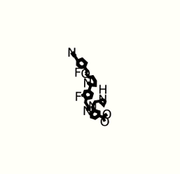 COC(=O)c1ccc2nc(Cc3ccc(-c4cccc(OCc5ccc(C#N)cc5F)n4)cc3F)n(CC3CCN3)c2c1